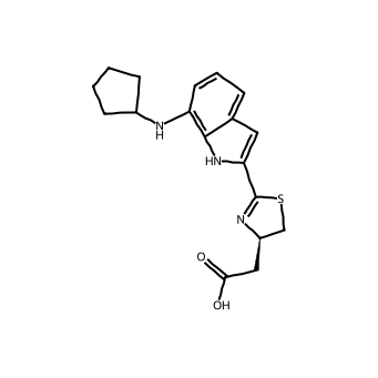 O=C(O)C[C@@H]1CSC(c2cc3cccc(NC4CCCC4)c3[nH]2)=N1